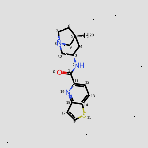 O=C(N[C@@H]1C[C@H]2CCN(C2)C1)c1ccc2sccc2n1